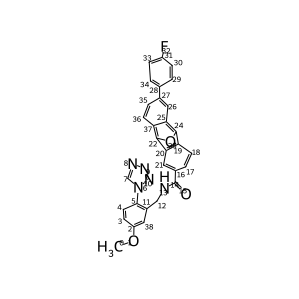 COc1ccc(-n2cnnn2)c(CNC(=O)c2ccc3c(c2)c2oc3c3cc(-c4ccc(F)cc4)ccc32)c1